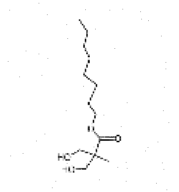 CCCCCCCCOC(=O)C(C)(CO)CO